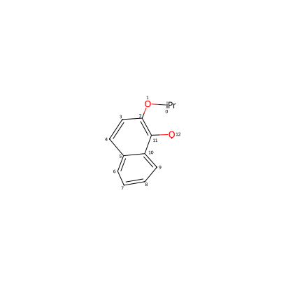 CC(C)Oc1ccc2ccccc2c1[O]